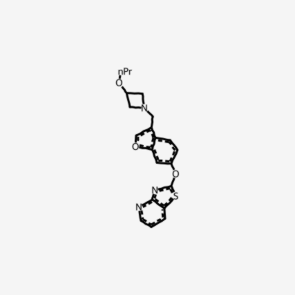 CCCOC1CN(Cc2coc3cc(Oc4nc5ncccc5s4)ccc23)C1